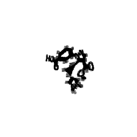 COC(=O)c1cnn(-c2cccc(C(=O)O)c2)c1[C@@H]1C[C@H]1c1cnn(C)c1